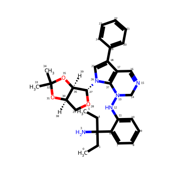 CCC(N)(CC)c1ccccc1NN1CN=Cc2c(-c3ccccc3)cn([C@@H]3OC[C@H]4OC(C)(C)O[C@@H]34)c21